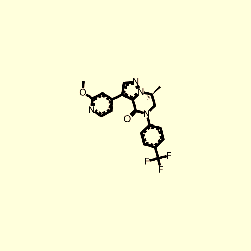 COc1cc(-c2cnn3c2C(=O)N(c2ccc(C(F)(F)F)cc2)C[C@@H]3C)ccn1